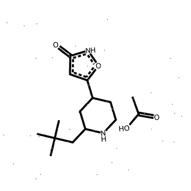 CC(=O)O.CC(C)(C)CC1CC(c2cc(=O)[nH]o2)CCN1